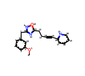 COc1cccc(Cc2noc(CCC#Cc3ccccn3)n2)c1